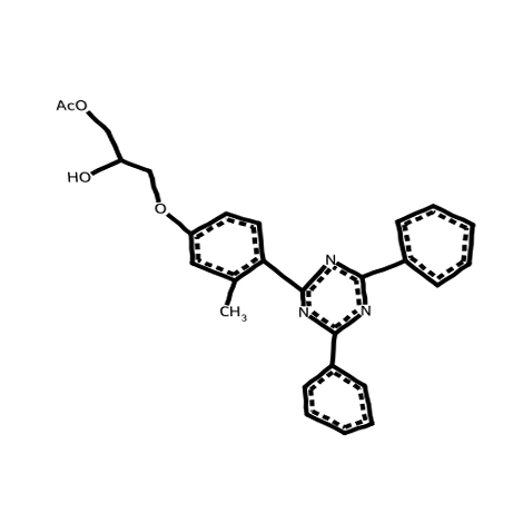 CC(=O)OCC(O)COc1ccc(-c2nc(-c3ccccc3)nc(-c3ccccc3)n2)c(C)c1